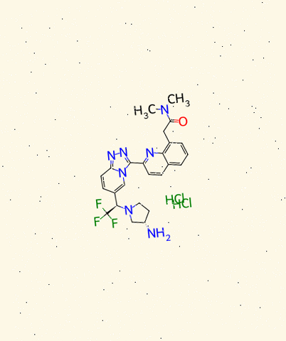 CN(C)C(=O)Cc1cccc2ccc(-c3nnc4ccc([C@@H](N5CC[C@H](N)C5)C(F)(F)F)cn34)nc12.Cl.Cl